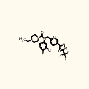 CCN1CCN(C(=O)N(Cc2ccc(-c3nnc(C(F)(F)F)o3)cn2)c2ccc(F)c(Cl)c2)CC1